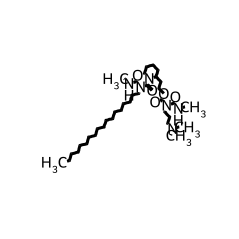 CCCCCCCCCCCCCCCCCCN(C(=O)NC)C(=O)N1CCCCC1CCOC(=O)N(CCCN(C)C)C(=O)NC